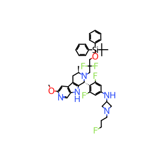 COc1cc2c3c([nH]c2cn1)[C@@H](c1c(F)cc(NC2CN(CCCF)C2)cc1F)N(CC(F)(F)CO[Si](c1ccccc1)(c1ccccc1)C(C)(C)C)[C@H](C)C3